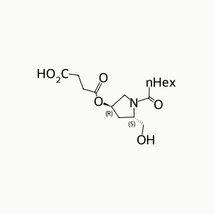 CCCCCCC(=O)N1C[C@H](OC(=O)CCC(=O)O)C[C@H]1CO